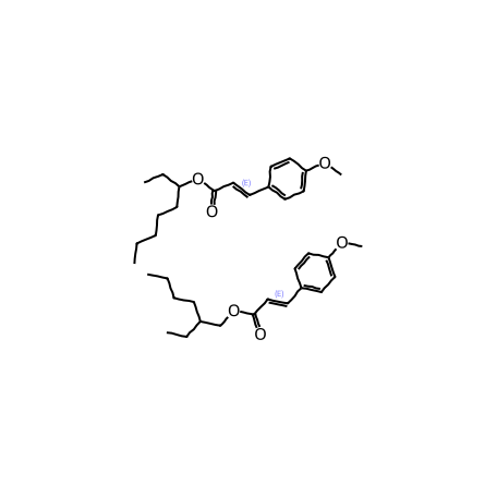 CCCCC(CC)COC(=O)/C=C/c1ccc(OC)cc1.CCCCCC(CC)OC(=O)/C=C/c1ccc(OC)cc1